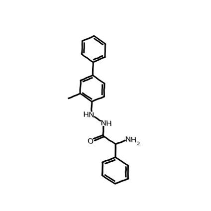 Cc1cc(-c2ccccc2)ccc1NNC(=O)C(N)c1ccccc1